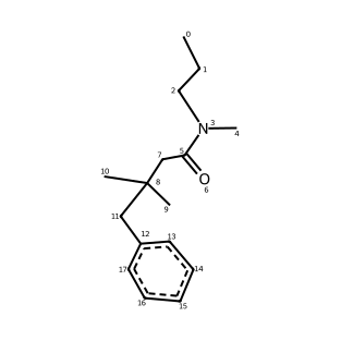 CCCN(C)C(=O)CC(C)(C)Cc1ccccc1